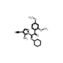 COc1ccc(C(=O)C(=NC2CCCCC2)n2ncc(C#N)c2N)c(OC)c1